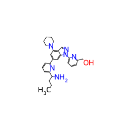 CCCC(N)c1cccc(-c2cc(N3CCCCC3)c3cnn(-c4cccc(CO)n4)c3c2)n1